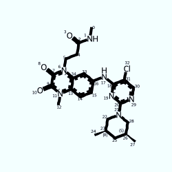 CNC(=O)CCn1c(=O)c(=O)n(C)c2ccc(Nc3nc(N4C[C@H](C)C[C@H](C)C4)ncc3Cl)cc21